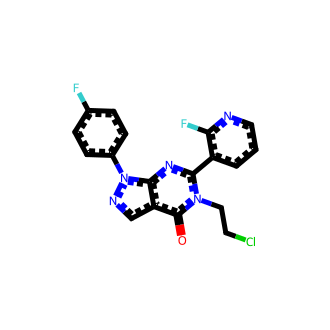 O=c1c2cnn(-c3ccc(F)cc3)c2nc(-c2cccnc2F)n1CCCl